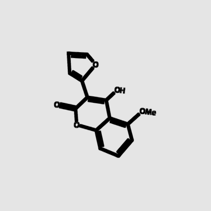 COc1cccc2oc(=O)c(-c3ccco3)c(O)c12